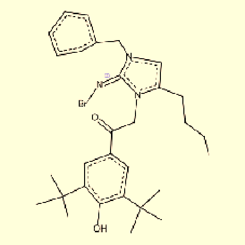 CCCCc1cn(Cc2ccccc2)/c(=N/Br)n1CC(=O)c1cc(C(C)(C)C)c(O)c(C(C)(C)C)c1